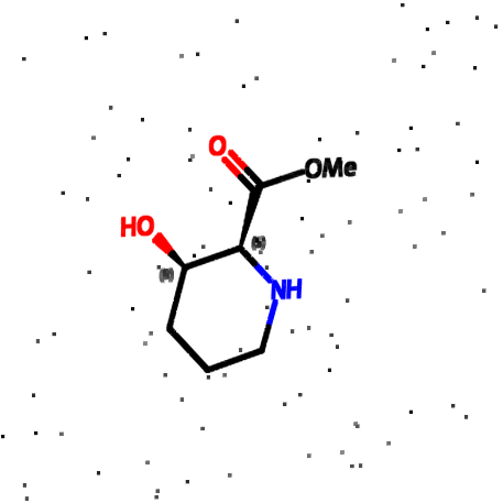 COC(=O)[C@H]1NCCC[C@H]1O